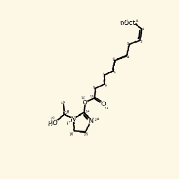 CCCCCCCC/C=C\CCCCCCCC(=O)OC1=NCCN1C(C)O